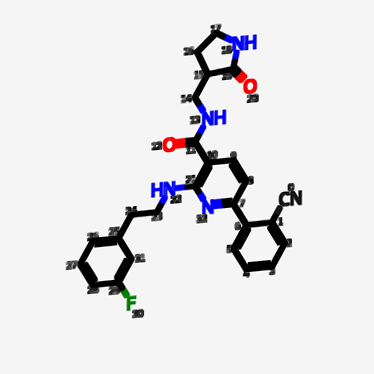 N#Cc1ccccc1-c1ccc(C(=O)NCC2CCNC2=O)c(NCCc2cccc(F)c2)n1